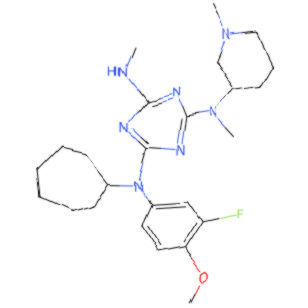 CNc1nc(N(C)C2CCCN(C)C2)nc(N(c2ccc(OC)c(F)c2)C2CCCCCC2)n1